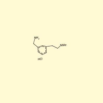 CNCCc1cccc(CN)c1.Cl